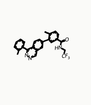 Cc1ccc(C(=O)NCC(F)(F)F)cc1-c1ccc2c(-c3ccccc3C)nncc2c1